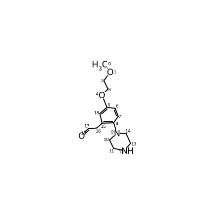 COCCOc1ccc(N2CCNCC2)c(CC=O)c1